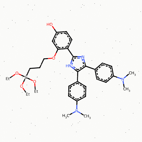 CCO[Si](CCCOc1cc(O)ccc1-c1nc(-c2ccc(N(C)C)cc2)c(-c2ccc(N(C)C)cc2)[nH]1)(OCC)OCC